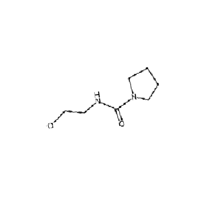 [O]CCNC(=O)N1CCCC1